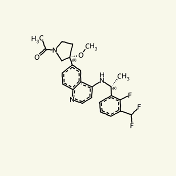 CO[C@@]1(c2ccc3nccc(N[C@H](C)c4cccc(C(F)F)c4F)c3c2)CCN(C(C)=O)C1